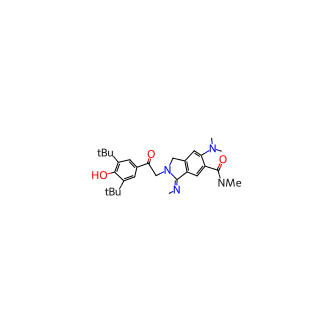 C/N=C1/c2cc(C(=O)NC)c(N(C)C)cc2CN1CC(=O)c1cc(C(C)(C)C)c(O)c(C(C)(C)C)c1